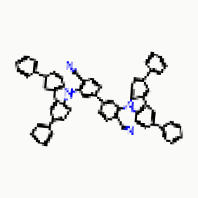 N#Cc1ccc(-c2ccc(C#N)c(-n3c4ccc(-c5ccccc5)cc4c4cc(-c5ccccc5)ccc43)c2)cc1-n1c2ccc(-c3ccccc3)cc2c2cc(-c3ccccc3)ccc21